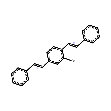 Brc1cc(/C=C/c2ccccc2)ccc1/C=C/c1ccccc1